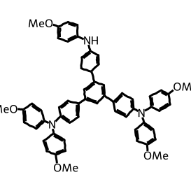 COc1ccc(NC2=CCC(c3cc(-c4ccc(N(c5ccc(OC)cc5)c5ccc(OC)cc5)cc4)cc(-c4ccc(N(c5ccc(OC)cc5)c5ccc(OC)cc5)cc4)c3)C=C2)cc1